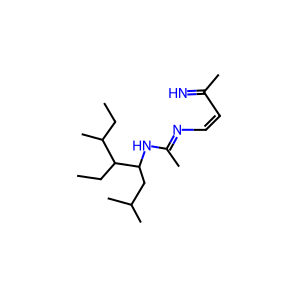 CCC(C)C(CC)C(CC(C)C)N/C(C)=N/C=C\C(C)=N